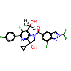 CC(C)(O)c1cc([C@@](O)(CNC(=O)c2cc(F)c3nn(C(F)F)cc3c2)C2CC2)nc(-c2ccc(F)cc2)c1F